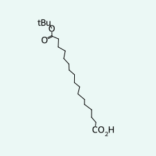 CC(C)(C)OC(=O)CCCCCCCCCCCCCCCC(=O)O